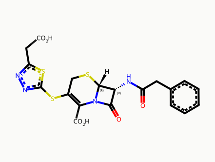 O=C(O)Cc1nnc(SC2=C(C(=O)O)N3C(=O)[C@@H](NC(=O)Cc4ccccc4)[C@H]3SC2)s1